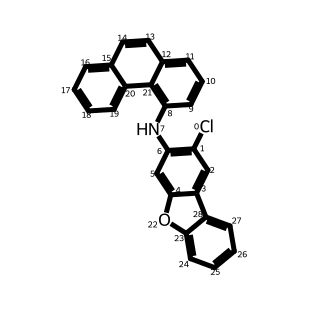 Clc1cc2c(cc1Nc1cccc3ccc4ccccc4c13)oc1ccccc12